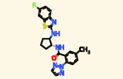 Cc1ccc(-n2nccn2)c(C(=O)N[C@@H]2CCC[C@H]2Nc2nc3ccc(F)cc3s2)c1